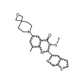 Cc1cc(N2CCC3(CC2)COC3)cc2c(=O)n(SF)c(-c3cc4ccsc4cn3)nc12